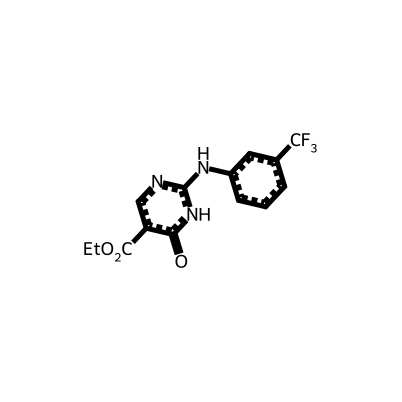 CCOC(=O)c1cnc(Nc2cccc(C(F)(F)F)c2)[nH]c1=O